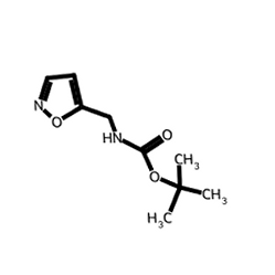 CC(C)(C)OC(=O)NCc1ccno1